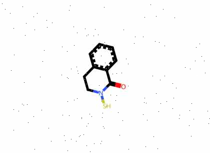 O=C1c2ccccc2CCN1S